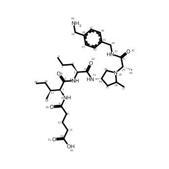 CCC[C@H](NC(=O)[C@@H](NC(=O)CCCC(=O)O)[C@@H](C)CC)C(=O)N[C@H]1CC(C)N([C@@H](C)C(=O)NCc2ccc(CN)cc2)C1